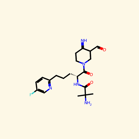 CC(C)(N)C(=O)N[C@H](CCCc1ccc(F)cn1)C(=O)N1CCC(=N)C(C=O)C1